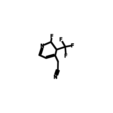 N#CCC1=CC=NC(F)C1C(F)(F)F